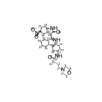 CC(CCN1CCOCC1)C(=O)Nc1ccc(N/C(=C2\C(=O)Nc3ccc([N+](=O)[O-])cc32)c2ccccc2)cc1